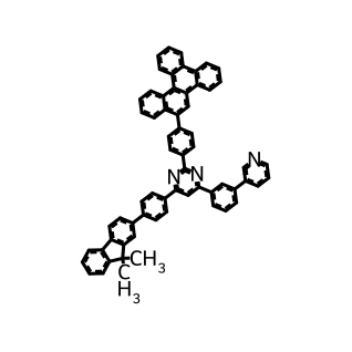 CC1(C)c2ccccc2-c2ccc(-c3ccc(-c4cc(-c5cccc(-c6cccnc6)c5)nc(-c5ccc(-c6cc7c8ccccc8c8ccccc8c7c7ccccc67)cc5)n4)cc3)cc21